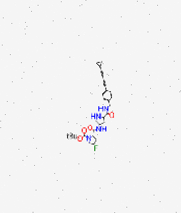 CC(C)(C)OC(=O)N1C[C@@H](F)C[C@H]1C(=O)N[C@H]1CN[C@@H](C(=O)NCc2ccc(C#CC#CC3CC3)cc2)C1